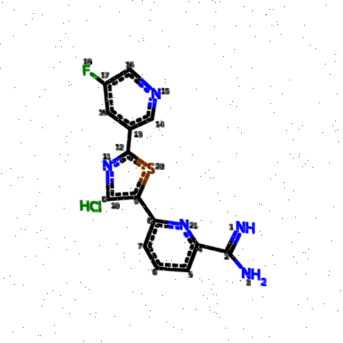 Cl.N=C(N)c1cccc(-c2cnc(-c3cncc(F)c3)s2)n1